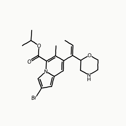 C/C=C(\c1cc2cc(Br)cn2c(C(=O)OC(C)C)c1C)C1CNCCO1